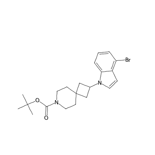 CC(C)(C)OC(=O)N1CCC2(CC1)CC(n1ccc3c(Br)cccc31)C2